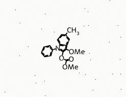 COC(=O)Oc1c(OC)c2cc(C)ccc2n1-c1ccccc1